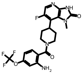 Cn1c(=O)[nH]c2ncc(F)c(C3CCN(C(=O)c4ccc(OC(F)(F)F)cc4N)CC3)c21